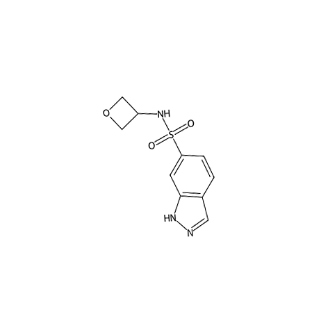 O=S(=O)(NC1COC1)c1ccc2cn[nH]c2c1